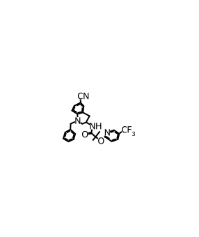 CC(C)(Oc1ccc(C(F)(F)F)cn1)C(=O)NC1Cc2cc(C#N)ccc2N(Cc2ccccc2)C1